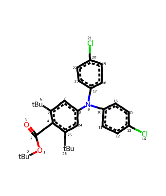 CC(C)(C)OC(=O)c1c(C(C)(C)C)cc(N(c2ccc(Cl)cc2)c2ccc(Cl)cc2)cc1C(C)(C)C